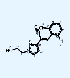 [C-]#[N+]C(=Cc1c(Cl)cccc1Cl)c1ccn(CCO)n1